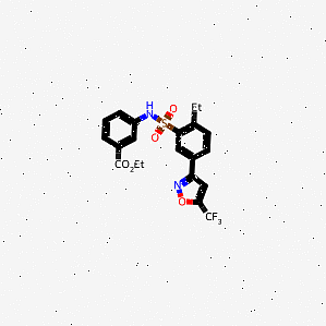 CCOC(=O)c1cccc(NS(=O)(=O)c2cc(-c3cc(C(F)(F)F)on3)ccc2CC)c1